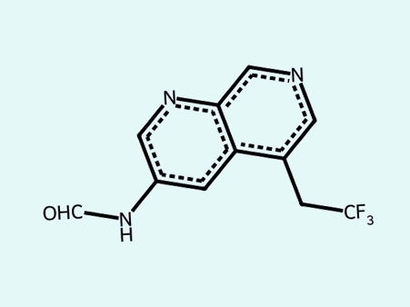 O=CNc1cnc2cncc(CC(F)(F)F)c2c1